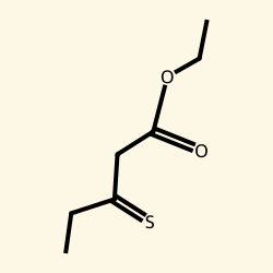 CCOC(=O)CC(=S)CC